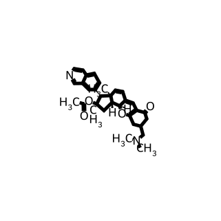 CC(=O)OC1(C)C[C@H]2[C@@H]3OC4=C(C=C3C=C[C@]2(C)[C@H]1c1ccc2ccncc2c1)C(=O)CC(CN(C)C)C4